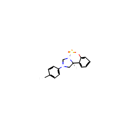 Cc1ccc(N2C[C@H]3c4ccccc4OS(=O)(=O)N3C2)cc1